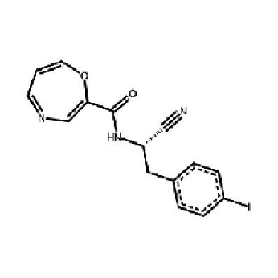 N#C[C@H](Cc1ccc(I)cc1)NC(=O)C1=CN=CC=CO1